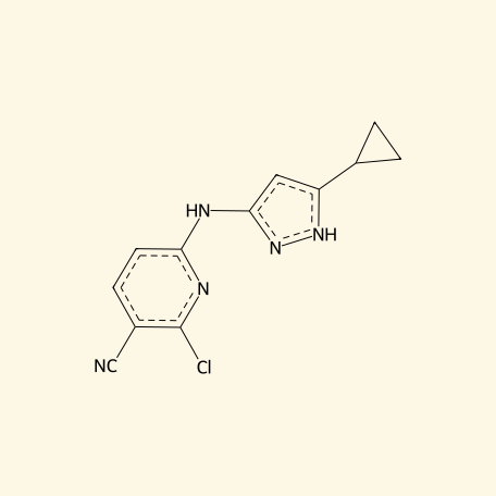 N#Cc1ccc(Nc2cc(C3CC3)[nH]n2)nc1Cl